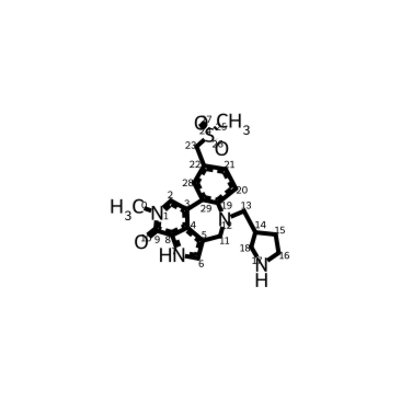 Cn1cc2c3c(c[nH]c3c1=O)CN(CC1CCNC1)c1ccc(CS(C)(=O)=O)cc1-2